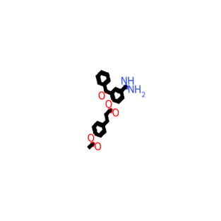 CC(=O)Oc1ccc(CCC(=O)Oc2ccc(C(=N)N)cc2C(=O)c2ccccc2)cc1